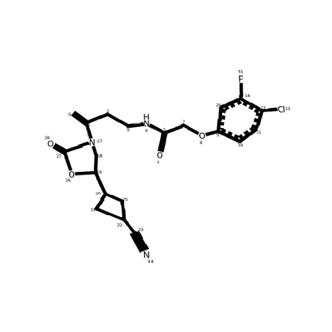 C=C(CCNC(=O)COc1ccc(Cl)c(F)c1)N1CC(C2CC(C#N)C2)OC1=O